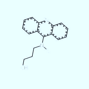 CCCCN(Cl)c1c2ccccc2nc2ccccc12